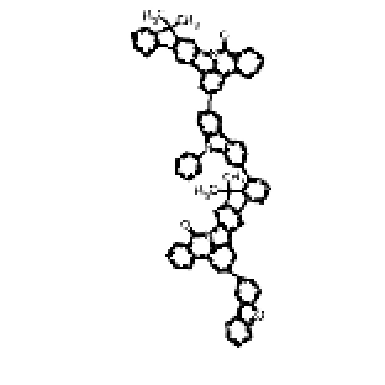 CC1(C)c2ccccc2-c2cc3c4cc(-c5ccc6c(c5)c5ccc(-c7cccc8c7C(C)(C)c7cc9c(cc7-8)c7cc(-c8ccc%10oc%11ccccc%11c%10c8)cc8c%10ccccc%10c(=O)n9c87)cc5n6-c5ccccc5)cc5c6ccccc6c(=O)n(c3cc21)c54